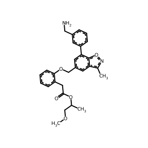 COCC(C)OC(=O)Cc1ccccc1OCc1cc(-c2cccc(CN)c2)c2onc(C)c2c1